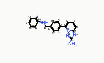 Nc1nc2cccc(-c3ccc(CNc4ccccc4)cc3)n2n1